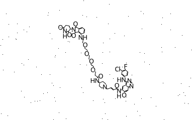 COc1cc2ncnc(Nc3ccc(F)c(Cl)c3)c2cc1NC(=O)/C=C/CN1CCC(NC(=O)CCOCCOCCOCCOCCNc2cccc3c2C(=O)N(C2CCC(=O)NC2=O)C3=O)CC1